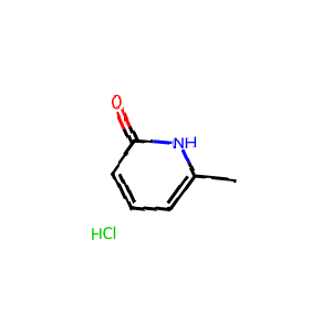 Cc1cccc(=O)[nH]1.Cl